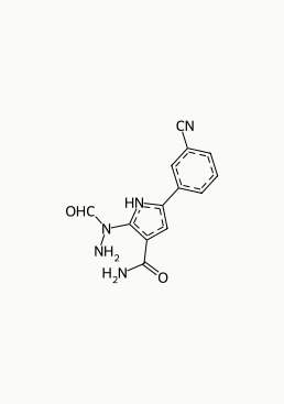 N#Cc1cccc(-c2cc(C(N)=O)c(N(N)C=O)[nH]2)c1